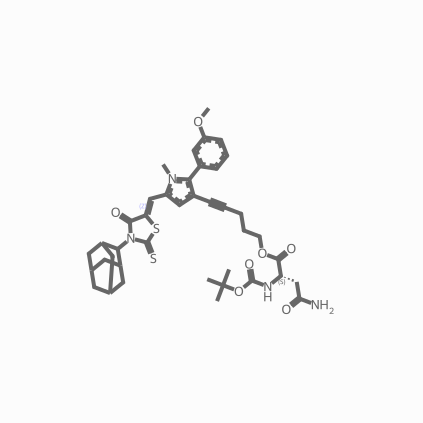 COc1cccc(-c2c(C#CCCCOC(=O)[C@H](CC(N)=O)NC(=O)OC(C)(C)C)cc(/C=C3\SC(=S)N(C4C5CC6CC(C5)CC4C6)C3=O)n2C)c1